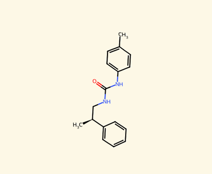 Cc1ccc(NC(=O)NC[C@H](C)c2ccccc2)cc1